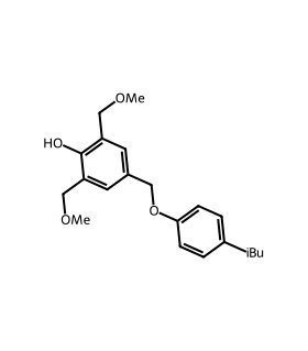 CCC(C)c1ccc(OCc2cc(COC)c(O)c(COC)c2)cc1